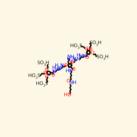 NCCCc1c(OC/C(N)=C/NCCCNC(=O)c2cc(OCCCS(=O)(=O)O)c(OCCCS(=O)(=O)O)c(OCCCS(=O)(=O)O)c2)cc(C(=O)NCCCCCC(=O)NCCCCCCO)cc1OC/C(N)=C/NCCCNC(=O)c1cc(OCCCS(=O)(=O)O)c(OCCCS(=O)(=O)O)c(OCCCS(=O)(=O)O)c1